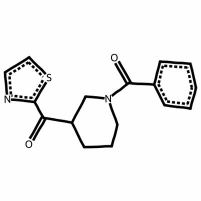 O=C(c1nccs1)C1CCCN(C(=O)c2ccccc2)C1